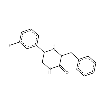 O=C1NCC(c2cccc(F)c2)NC1Cc1ccccc1